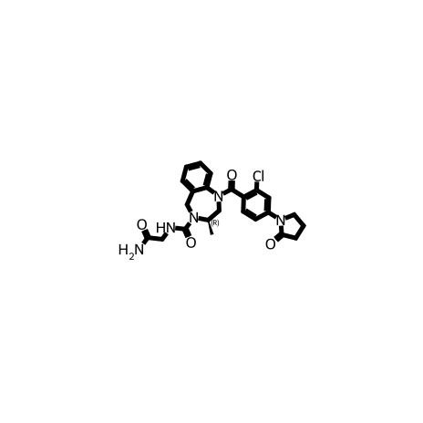 C[C@@H]1CN(C(=O)c2ccc(N3CCCC3=O)cc2Cl)c2ccccc2CN1C(=O)NCC(N)=O